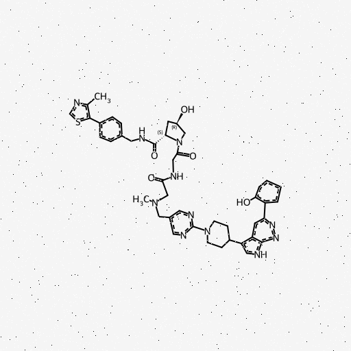 Cc1ncsc1-c1ccc(CNC(=O)[C@@H]2C[C@@H](O)CN2C(=O)CNC(=O)CN(C)Cc2cnc(N3CCC(c4c[nH]c5nnc(-c6ccccc6O)cc45)CC3)nc2)cc1